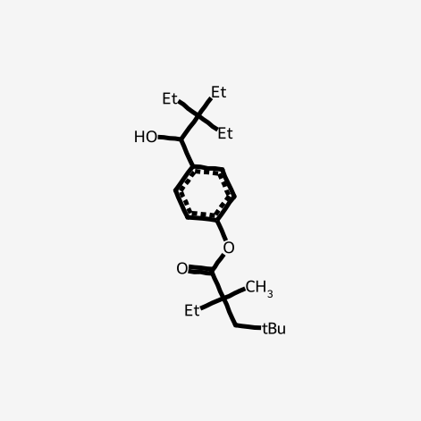 CCC(C)(CC(C)(C)C)C(=O)Oc1ccc(C(O)C(CC)(CC)CC)cc1